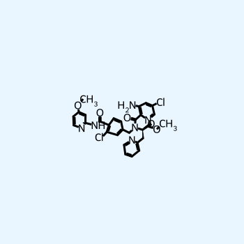 COC(=O)[C@@H](Cc1ccccn1)N(Cc1ccc(C(=O)Nc2cc(OC)ccn2)c(Cl)c1)C(=O)c1ncc(Cl)cc1N